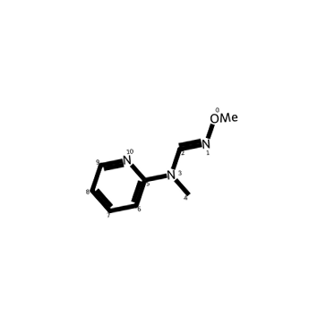 CO/N=C/N(C)c1ccccn1